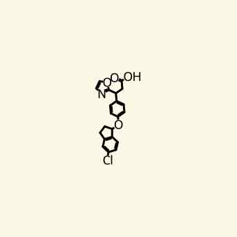 O=C(O)CC(c1ccc(OC2CCc3cc(Cl)ccc32)cc1)c1ncco1